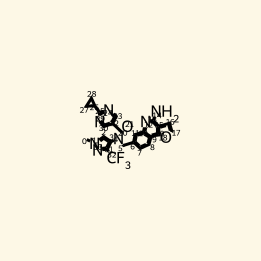 Cn1cc(N(Cc2ccc3c(c2)nc(N)c2ccoc23)C(=O)c2cnc(C3CC3)nc2)c(C(F)(F)F)n1